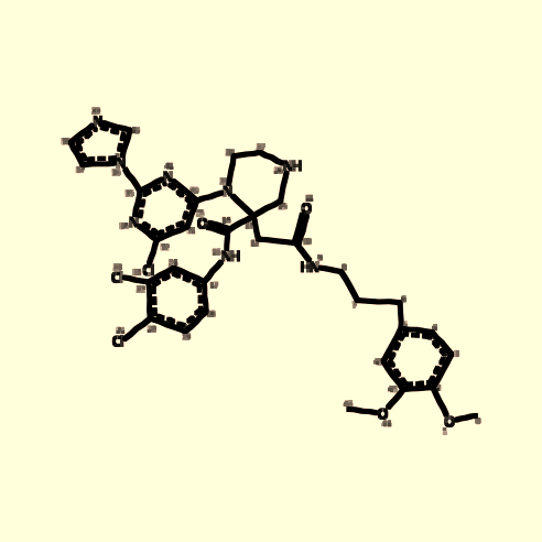 COc1ccc(CCCNC(=O)CC2(C(=O)Nc3ccc(Cl)c(Cl)c3)CNCCN2c2cc(Cl)nc(-n3ccnc3)n2)cc1OC